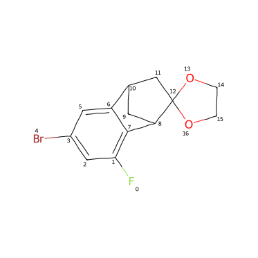 Fc1cc(Br)cc2c1C1CC2CC12OCCO2